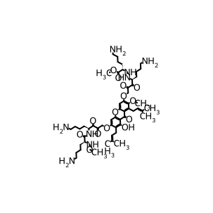 CON[C@@H](CCCCN)C(=O)N[C@@H](CCCCN)C(=O)C(=O)COc1cc2oc3cc(OCC(=O)C(=O)[C@H](CCCCN)NN[C@@H](CCCCN)C(=O)OC)c(OC)c(CC=C(C)C)c3c(=O)c2c(O)c1CC=C(C)C